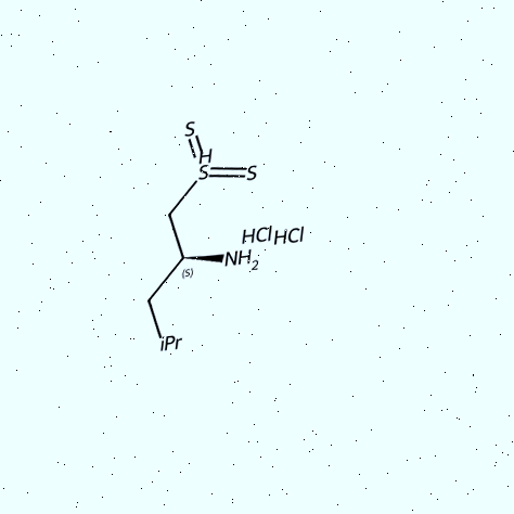 CC(C)C[C@H](N)C[SH](=S)=S.Cl.Cl